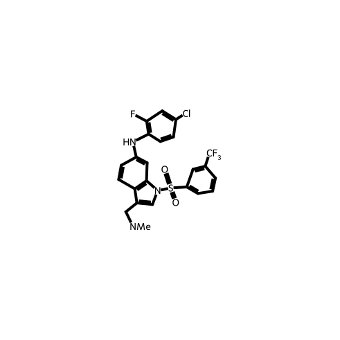 CNCc1cn(S(=O)(=O)c2cccc(C(F)(F)F)c2)c2cc(Nc3ccc(Cl)cc3F)ccc12